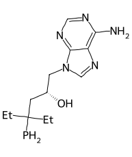 CCC(P)(CC)C[C@@H](O)Cn1cnc2c(N)ncnc21